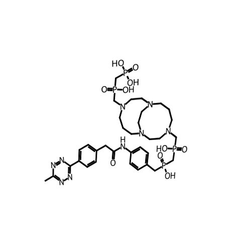 Cc1nnc(-c2ccc(CC(=O)Nc3ccc(CP(=O)(O)CP(=O)(O)CN4CCCN5CCN(CCCN(CP(=O)(O)CP(=O)(O)O)CC5)CC4)cc3)cc2)nn1